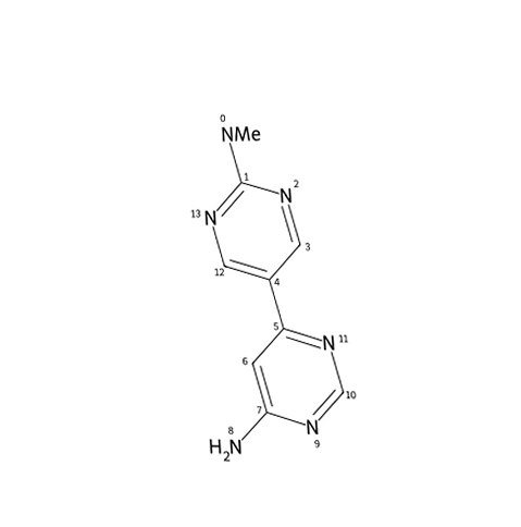 CNc1ncc(-c2cc(N)ncn2)cn1